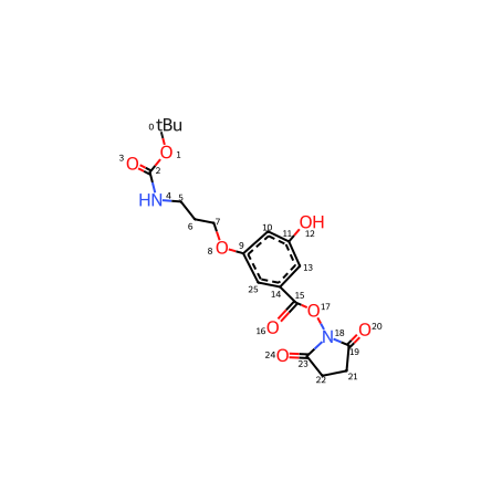 CC(C)(C)OC(=O)NCCCOc1cc(O)cc(C(=O)ON2C(=O)CCC2=O)c1